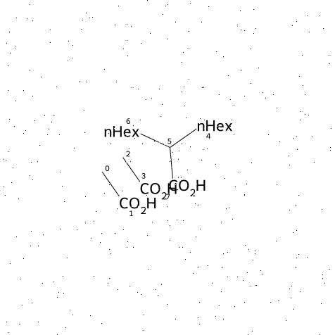 CC(=O)O.CC(=O)O.CCCCCCC(CCCCCC)C(=O)O